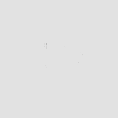 Brc1ccnc(OC2CC(OC3CCN(C4(C5CCNCC5)CC4)CC3)C2)c1